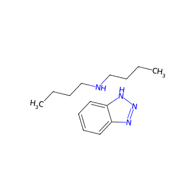 CCCCNCCCC.c1ccc2[nH]nnc2c1